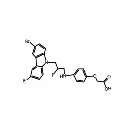 O=C(O)COc1ccc(NCC(F)Cn2c3ccc(Br)cc3c3cc(Br)ccc32)cc1